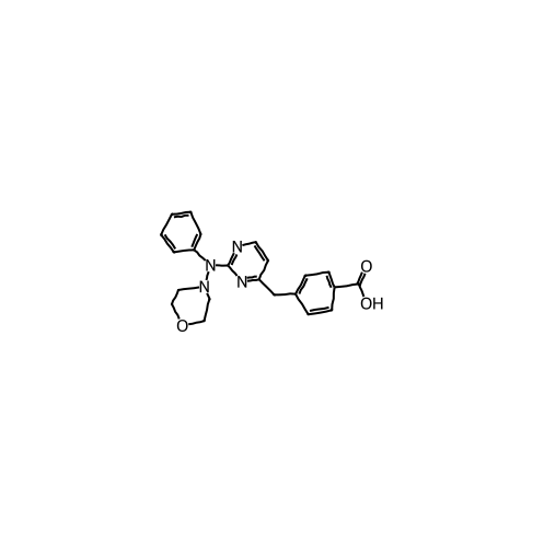 O=C(O)c1ccc(Cc2ccnc(N(c3ccccc3)N3CCOCC3)n2)cc1